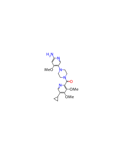 COc1cc(N)ncc1N1CCN(C(=O)c2ncc(C3CC3)c(OC)c2OC)CC1